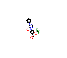 O=Cc1ccc(N2CCN(c3ccccc3)CC2=O)cc1OC(F)F